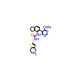 COc1ncncc1-c1ccc2c(c1NC(=O)NSc1cc3c(s1)CCN(C)C3)CCC2